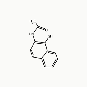 CC(=O)Nc1cnc2ccccc2c1S